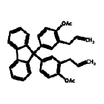 C=CCc1cc(C2(c3ccc(OC(C)=O)c(CC=C)c3)c3ccccc3-c3ccccc32)ccc1OC(C)=O